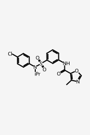 Cc1ncoc1C(=O)Nc1cccc(S(=O)(=O)N(c2ccc(Cl)cc2)C(C)C)c1